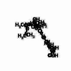 Cc1ccc(CNC(=O)[C@@H]2C[C@@H](O)CN2C(=O)[C@@H](NC(=O)[C@H]2CCC3(CC2)C[C@H](N2CCC(c4cnc(N5CCN6c7cc(-c8ccccc8O)nnc7NC[C@H]6C5)nc4)CC2)C3)C(C)(C)C)c(OCCCN(C)C)c1